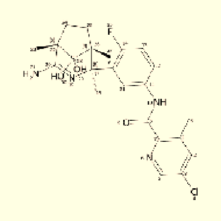 Cc1cc(Cl)cnc1C(=O)Nc1ccc(F)c([C@@]2(C)N=C(N)[C@]3(C)CC[C@@]2(C)S3(O)O)c1